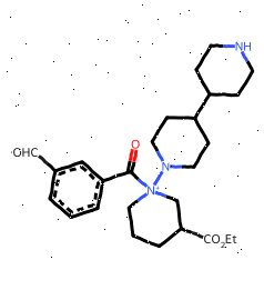 CCOC(=O)C1CCC[N+](C(=O)c2cccc([C]=O)c2)(N2CCC(C3CCNCC3)CC2)C1